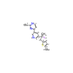 CC(C)(C)c1nccc(-c2cncc(C(C)(I)Cc3ccc(C(C)(C)C)s3)c2)n1